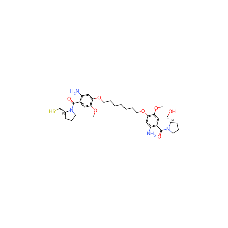 COc1cc(C(=O)N2CCC[C@H]2CO)c(N)cc1OCCCCCCCOc1cc(N)c(C(=O)N2CCC[C@H]2CS)cc1OC